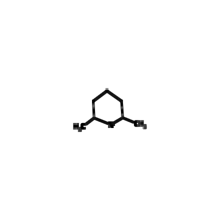 CC1C[CH]CC(C)[N]1